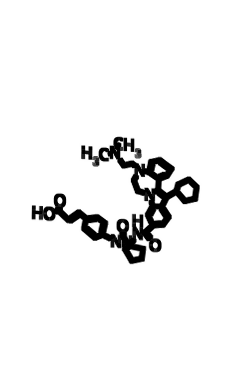 CN(C)CCN1CCn2c(c(C3CCCCC3)c3ccc(C(=O)NC4(C(=O)Nc5ccc(C=CC(=O)O)cc5)CCCC4)cc32)-c2ccccc21